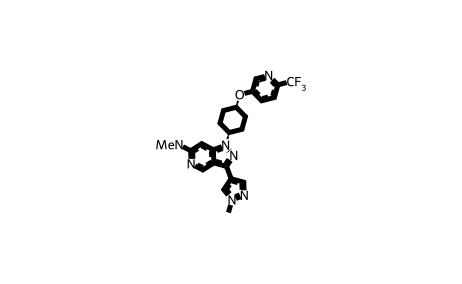 CNc1cc2c(cn1)c(-c1cnn(C)c1)nn2[C@H]1CC[C@@H](Oc2ccc(C(F)(F)F)nc2)CC1